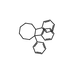 c1ccc(C2CCCCCCC2(c2ccccc2)c2ccccc2)cc1